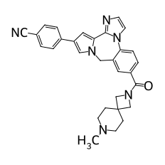 CN1CCC2(CC1)CN(C(=O)c1ccc3c(c1)Cn1cc(-c4ccc(C#N)cc4)cc1-c1nccn1-3)C2